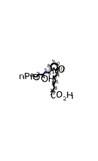 CCCOCC(O)/C=C/[C@H]1CCCC(=O)N1CCCCCCC(=O)O